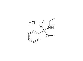 CCNC(OC)(OC)c1ccccc1.Cl